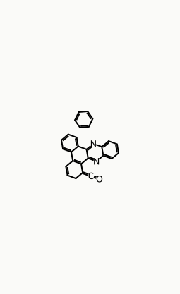 O=C=C1CC=Cc2c1c1nc3ccccc3nc1c1ccccc21.c1ccccc1